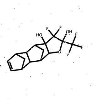 OC12C3CC(C4C5C=CC(C5)C43)C1OC(O)(C(F)(F)F)C2(F)F